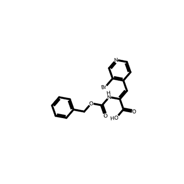 O=C(NC(=Cc1ccncc1Br)C(=O)O)OCc1ccccc1